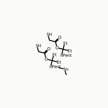 CCCCCC(CC)(CC)OC(=O)CS.CCCCCC(CC)(CC)OC(=O)CS.[CH3][Sn][CH3]